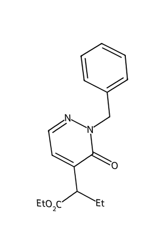 CCOC(=O)C(CC)c1ccnn(Cc2ccccc2)c1=O